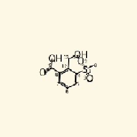 CS(=O)(=O)c1cccc(C(=O)O)c1CO